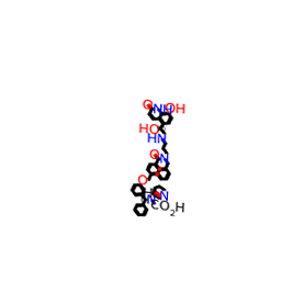 O=C(c1ccc(COc2cccc([C@H](c3ccccc3)N(C(=O)O)[C@H]3CN4CCC3CC4)c2)cc1)N(CCCNC[C@H](O)c1ccc(O)c2[nH]c(=O)ccc12)Cc1ccccc1